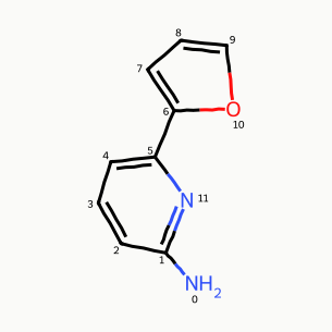 Nc1cccc(-c2ccco2)n1